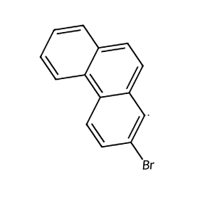 Brc1[c]c2ccc3ccccc3c2cc1